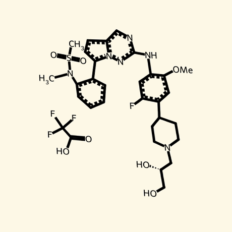 COc1cc(C2CCN(C[C@@H](O)CO)CC2)c(F)cc1Nc1ncc2ccc(-c3ccccc3N(C)S(C)(=O)=O)n2n1.O=C(O)C(F)(F)F